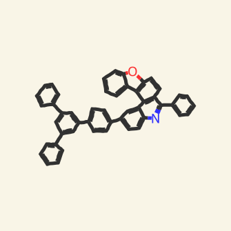 c1ccc(-c2cc(-c3ccccc3)cc(-c3ccc(-c4ccc5nc(-c6ccccc6)c6ccc7oc8ccccc8c7c6c5c4)cc3)c2)cc1